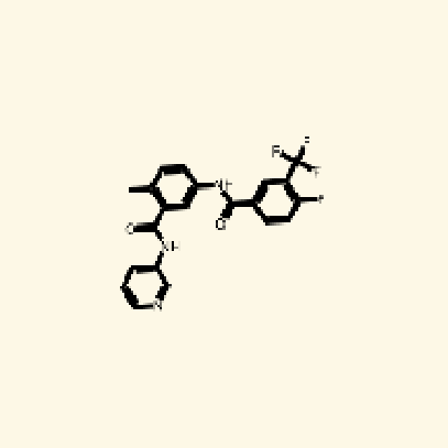 Cc1ccc(NC(=O)c2ccc(F)c(C(F)(F)F)c2)cc1C(=O)Nc1cccnc1